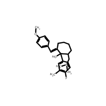 COc1ccc(/C=C2\CCCCC(CN(C)C)C2(O)c2ccc(F)c(C)c2)cc1